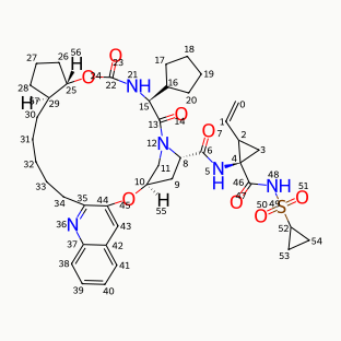 C=CC1C[C@]1(NC(=O)[C@@H]1C[C@@H]2CN1C(=O)[C@H](C1CCCC1)NC(=O)O[C@H]1CCC[C@@H]1CCCCCc1nc3ccccc3cc1O2)C(=O)NS(=O)(=O)C1CC1